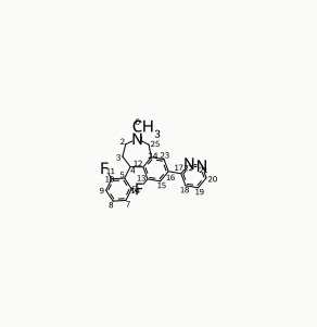 CN1CCC(c2ccccc2F)c2c(F)cc(-c3cccnn3)cc2C1